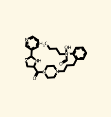 CCCC[N+](O)(C=O)c1ccccc1CCCN1CCN(C(=O)C2CSC(c3cccnc3)N2)CC1